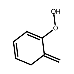 C=C1CC=C[C]=C1OO